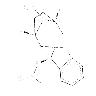 CC(C)(C)[S@@+]([O-])N[C@@H]1c2ccccc2O[C@@]12C[C@H]1CC[C@@H](C2)N1C(=O)O